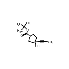 CC#CC1(O)CCN(C(=O)OC(C)(C)C)CC1